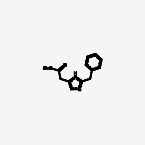 COC(=O)Cc1cnc(Cc2ccccc2)[nH]1